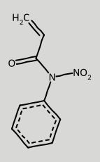 C=CC(=O)N(c1ccccc1)[N+](=O)[O-]